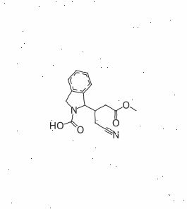 COC(=O)CC(CC#N)C1c2ccccc2CN1C(=O)O